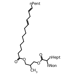 CCCCCC=CCC=CCCCCCCCC(=O)OCC(C)COC(=O)C(CCCCCCC)CCCCCCCCC